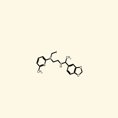 Cc1cccc(N(CI)CCNC(C)c2ccc3c(c2)OCO3)n1